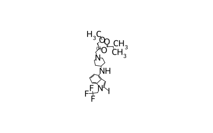 COC[C@H](CN1CCC(Nc2cccc3c2cc(I)n3CC(F)(F)F)CC1)OC(=O)C(C)C